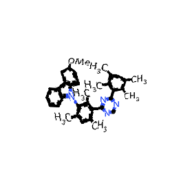 COc1ccc2c(c1)c1ccccc1n2-c1c(C)cc(C)c(-c2ncnc(-c3c(C)c(C)cc(C)c3C)n2)c1C